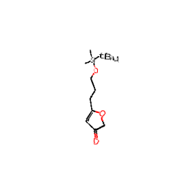 CC(C)(C)[Si](C)(C)OCCCC1=CC(=O)CO1